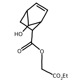 CCOC(=O)COC(=O)C1CC2C=CC1C2O